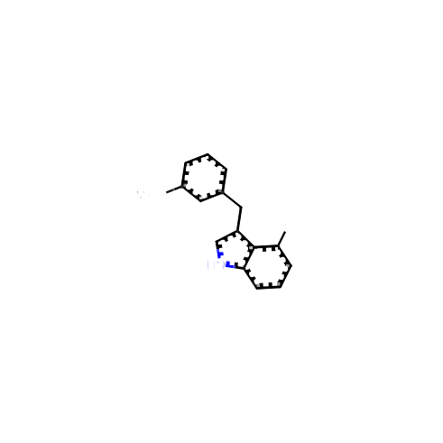 COc1cccc(Cc2c[nH]c3cccc(C)c23)c1